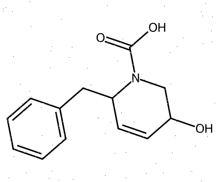 O=C(O)N1CC(O)C=CC1Cc1ccccc1